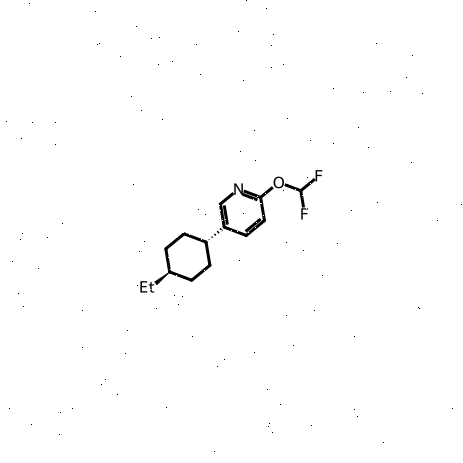 CC[C@H]1CC[C@H](c2ccc(OC(F)F)nc2)CC1